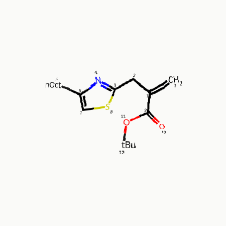 C=C(Cc1nc(CCCCCCCC)cs1)C(=O)OC(C)(C)C